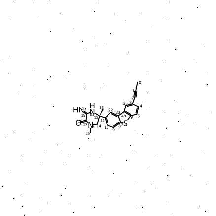 CC#Cc1ccc2sc3ccc([C@]4(C)CN(C)C(=O)C(=N)N4)cc3c2c1